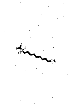 CCCCCCCCCCS(=O)(=O)C(I)I